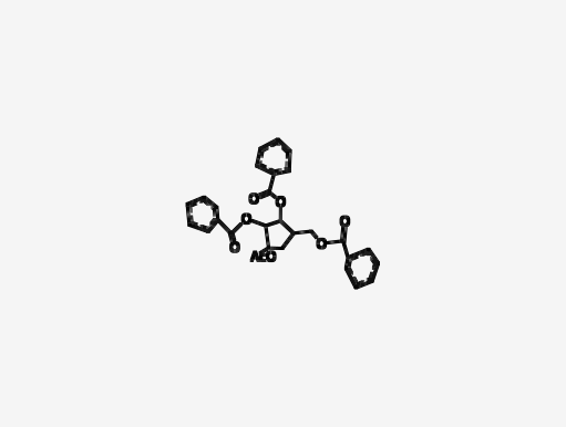 CC(=O)OC1CC(COC(=O)c2ccccc2)C(OC(=O)c2ccccc2)C1OC(=O)c1ccccc1